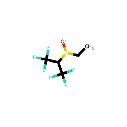 CC[S+]([O-])C(C(F)(F)F)C(F)(F)F